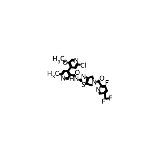 COc1cnc(Cl)cc1-c1cc(C)ncc1C(=O)Nc1nc2c(s1)CN(C(=O)c1ncc(C(F)F)cc1F)C2